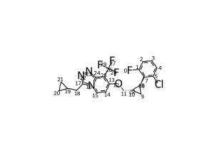 Fc1cccc(Cl)c1[C@H]1C[C@@H]1COc1ccn2c(CC3CC3)nnc2c1C(F)(F)F